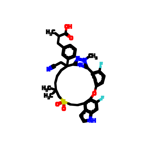 CC(Cc1cccc(C2(CC#N)CCCC(C)(C)CS(=O)(=O)CCc3c(c(F)cc4[nH]ccc34)Oc3ccc(F)c(c3)-c3nc2nn3C)c1)C(=O)O